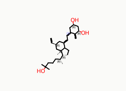 C=C[C@H]1CC(=C/C=C2/C[C@@H](O)C[C@@H](O)C2=C)C2CC[C@H]([C@H](C)CCCC(C)(C)O)[C@@]2(C)C1